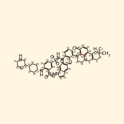 CC1(C)CCC(CN2CCN(c3cccc(C(=O)NS(=O)(=O)c4ccc(N[C@H]5CC[C@H](C6CNCCO6)CC5)c([N+](=O)[O-])c4)c3Oc3ccc4[nH]ccc4c3)CC2)=C(c2ccc(Cl)cc2)C1